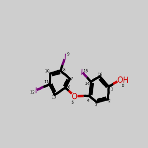 Oc1ccc(Oc2cc(I)cc(I)c2)c(I)c1